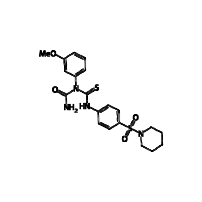 COc1cccc(N(C(N)=O)C(=S)Nc2ccc(S(=O)(=O)N3CCCCC3)cc2)c1